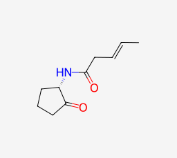 C/C=C/CC(=O)N[C@H]1CCCC1=O